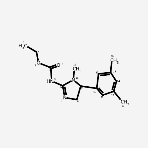 CCOC(=O)NC1=NCC(c2cc(C)cc(C)c2)N1C